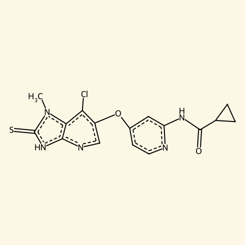 Cn1c(=S)[nH]c2ncc(Oc3ccnc(NC(=O)C4CC4)c3)c(Cl)c21